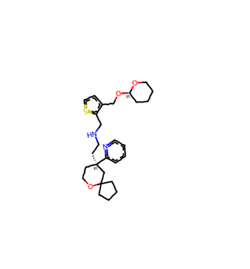 c1ccc([C@]2(CCNCc3sccc3CO[C@@H]3CCCCO3)CCOC3(CCCC3)C2)nc1